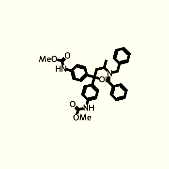 COC(=O)Nc1ccc(C(O)(CC(C)N(Cc2ccccc2)Cc2ccccc2)c2ccc(NC(=O)OC)cc2)cc1